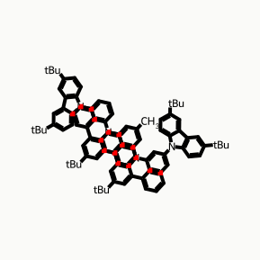 Cc1cc(N(c2cccc(-n3c4ccc(C(C)(C)C)cc4c4cc(C(C)(C)C)ccc43)c2)c2c(-c3ccccc3)cc(C(C)(C)C)cc2-c2ccccc2)cc(N(c2cccc(-n3c4ccc(C(C)(C)C)cc4c4cc(C(C)(C)C)ccc43)c2)c2c(-c3ccccc3)cc(C(C)(C)C)cc2-c2ccccc2)c1